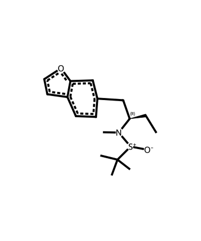 CC[C@H](Cc1ccc2ccoc2c1)N(C)[S+]([O-])C(C)(C)C